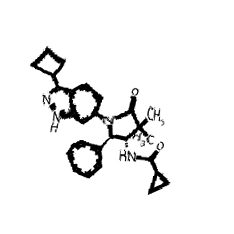 CC1(C)C(=O)N(c2ccc3c(C4CCC4)n[nH]c3c2)[C@H](c2ccccc2)[C@H]1NC(=O)C1CC1